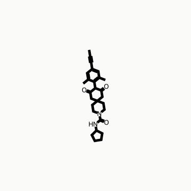 CC#Cc1cc(C)c(C2C(=O)CC3(CCN(C(=O)NC4CCCC4)CC3)CC2=O)c(C)c1